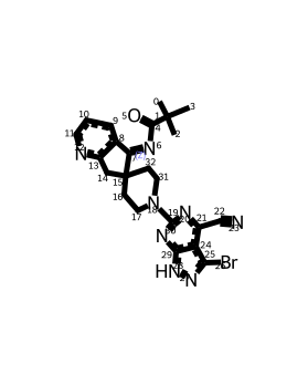 CC(C)(C)C(=O)/N=C1\c2cccnc2CC12CCN(c1nc(C#N)c3c(Br)n[nH]c3n1)CC2